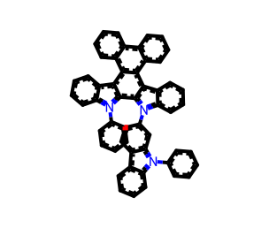 c1ccc(-n2c3ccccc3c3ccc(-n4c5ccccc5c5c6c7ccccc7c7ccccc7c6c6c7ccccc7n(-c7ccccc7)c6c54)cc32)cc1